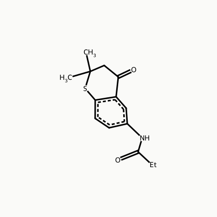 CCC(=O)Nc1ccc2c(c1)C(=O)CC(C)(C)S2